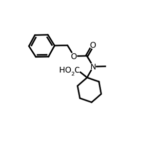 CN(C(=O)OCc1ccccc1)C1(C(=O)O)CCCCC1